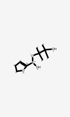 CC(C)(O)C(C)(C)OB(O)C1=CCCO1